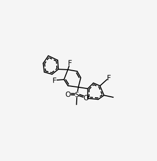 Cc1ccc(C2(S(C)(=O)=O)C=CC(F)(c3ccccc3)C(F)=C2)cc1F